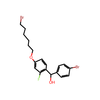 OC(c1ccc(Br)cc1)c1ccc(OCCCCCCBr)cc1F